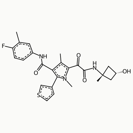 Cc1cc(NC(=O)c2c(C)c(C(=O)C(=O)N[C@]3(C)C[C@H](O)C3)n(C)c2-c2ccsc2)ccc1F